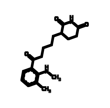 CNc1c(C)cccc1C(=O)CCCCC1CCC(=O)NC1=O